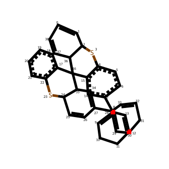 C1=CC2Sc3ccc(C4=CCCC=C4)cc3C3(c4ccccc4SC4C=CC(C5=CCCC=C5)=CC43)C2C=C1